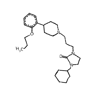 CCCOc1ccccc1C1CCN(CCCN2CCN(C3CCCCC3)C2=O)CC1